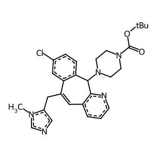 Cn1cncc1CC1=Cc2cccnc2C(N2CCN(C(=O)OC(C)(C)C)CC2)c2ccc(Cl)cc21